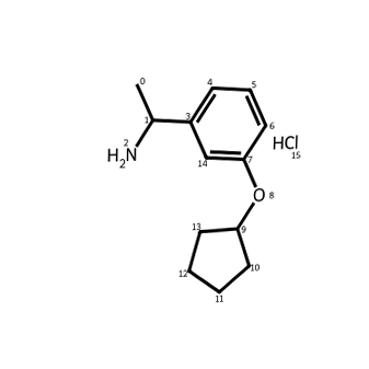 CC(N)c1cccc(OC2CCCC2)c1.Cl